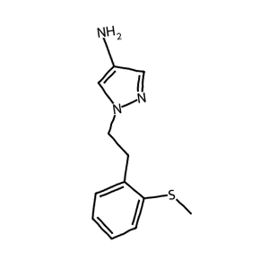 CSc1ccccc1CCn1cc(N)cn1